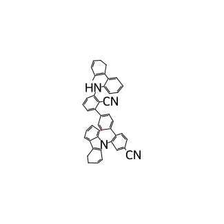 CC1=C(c2ccccc2Nc2cccc(-c3ccc(-c4ccc(C#N)cc4-n4c5c(c6ccccc64)CCC=C5)cc3)c2C#N)CCC=C1